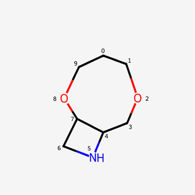 C1COCC2NCC2OC1